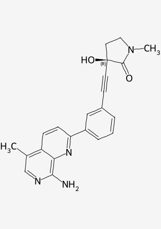 Cc1cnc(N)c2nc(-c3cccc(C#C[C@]4(O)CCN(C)C4=O)c3)ccc12